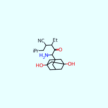 CCC(C(=O)C(N)C12CC3CC(O)(CC(O)(C3)C1)C2)C(C#N)CC(C)C